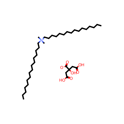 CCCCCCCCCCCCCCCC[N+](C)(C)CCCCCCCCCCCCCCCC.O=C(O)CC(O)(CC(=O)O)C(=O)[O-]